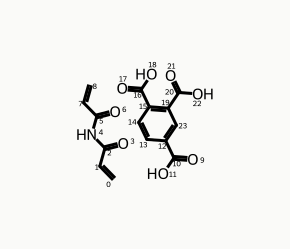 C=CC(=O)NC(=O)C=C.O=C(O)c1ccc(C(=O)O)c(C(=O)O)c1